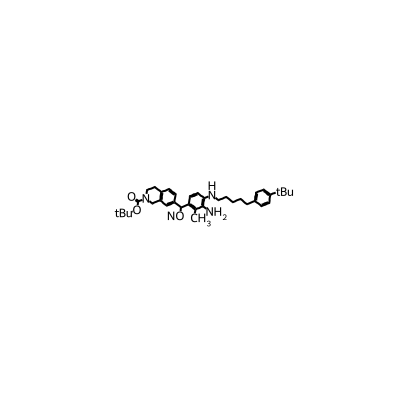 Cc1c(C(N=O)c2ccc3c(c2)CN(C(=O)OC(C)(C)C)CC3)ccc(NCCCCCc2ccc(C(C)(C)C)cc2)c1N